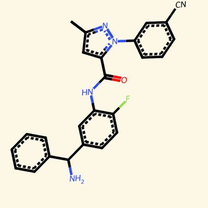 Cc1cc(C(=O)Nc2cc(C(N)c3ccccc3)ccc2F)n(-c2cccc(C#N)c2)n1